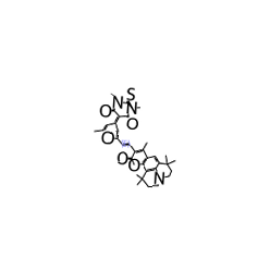 CC1=CC(=C2C(=O)N(C)C(=S)N(C)C2=O)C=C(/C=C/c2c(C)c3cc4c5c(c3oc2=O)C(C)(C)CCN5CCC4(C)C)O1